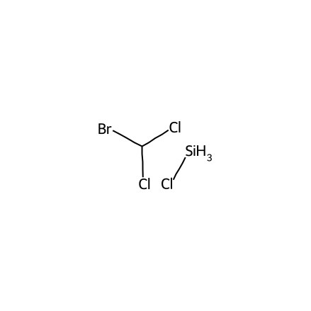 ClC(Cl)Br.[SiH3]Cl